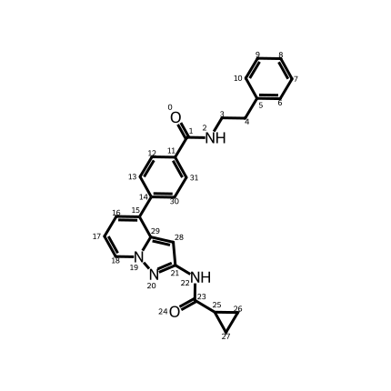 O=C(NCCc1ccccc1)c1ccc(-c2cccn3nc(NC(=O)C4CC4)cc23)cc1